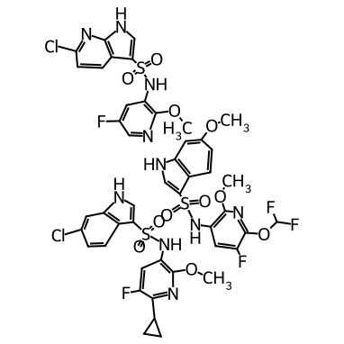 COc1ccc2c(S(=O)(=O)Nc3cc(F)c(OC(F)F)nc3OC)c[nH]c2c1.COc1nc(C2CC2)c(F)cc1NS(=O)(=O)c1c[nH]c2cc(Cl)ccc12.COc1ncc(F)cc1NS(=O)(=O)c1c[nH]c2nc(Cl)ccc12